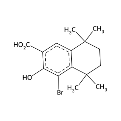 CC1(C)CCC(C)(C)c2c1cc(C(=O)O)c(O)c2Br